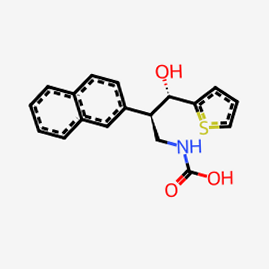 O=C(O)NC[C@@H](c1ccc2ccccc2c1)[C@H](O)c1cccs1